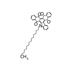 CCCCCCCCCCCCCCCCn1c2ccccc2c2c3c(=O)c4ccccc4c(=O)c3c3c(=O)c4ccccc4c(=O)c3c21